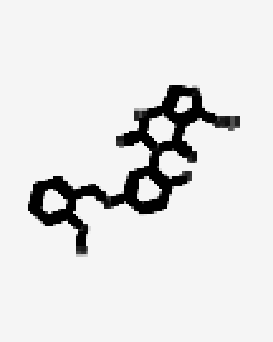 CCOc1ccccc1COc1ccc(F)c(-n2c(=O)[nH]c3csc(C(=O)O)c3c2=O)c1